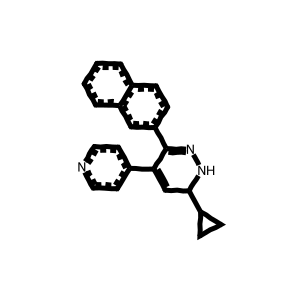 C1=C(c2ccncc2)C(c2ccc3ccccc3c2)=NNC1C1CC1